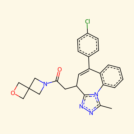 Cc1nnc2n1-c1ccccc1C(c1ccc(Cl)cc1)=CC2CC(=O)N1CC2(COC2)C1